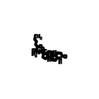 CCCCC(=O)C(C)NC(=O)C1CC[C@H]2[C@@H]3CCC4NC(=O)C=C[C@]4(C)[C@@H]3CC[C@]12C